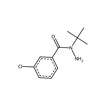 CC(C)(C)N(N)C(=O)c1cccc(Cl)c1